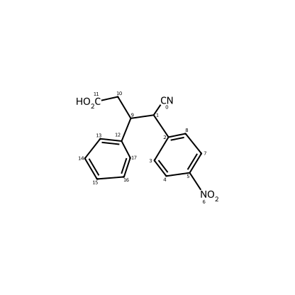 N#CC(c1ccc([N+](=O)[O-])cc1)C(CC(=O)O)c1ccccc1